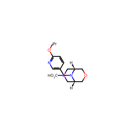 CC(C)Oc1ccc(CN2[C@@H]3COC[C@H]2CN(C(=O)O)C3)cn1